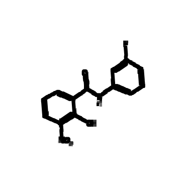 O=C(Nc1cccc(F)c1)c1cccc([N+](=O)[O-])c1O